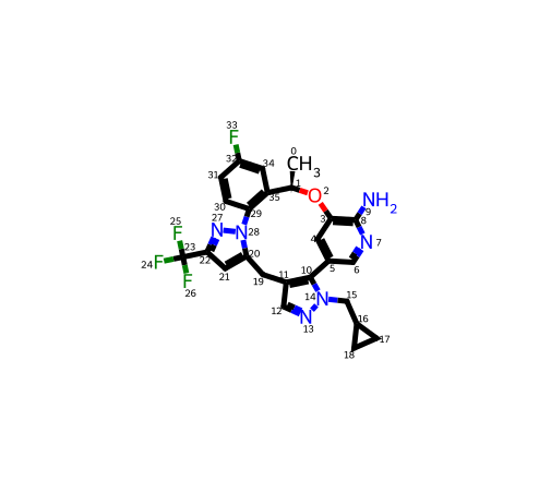 C[C@H]1Oc2cc(cnc2N)-c2c(cnn2CC2CC2)Cc2cc(C(F)(F)F)nn2-c2ccc(F)cc21